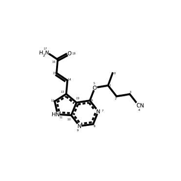 CC(CCC#N)Oc1ncnc2[nH]cc(C=CC(N)=O)c12